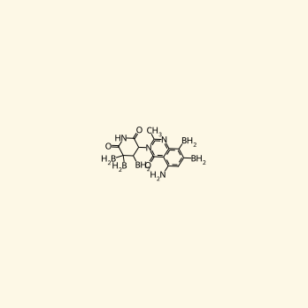 Bc1cc(N)c2c(=O)n(C3C(=O)NC(=O)C(B)(B)C3B)c(C)nc2c1B